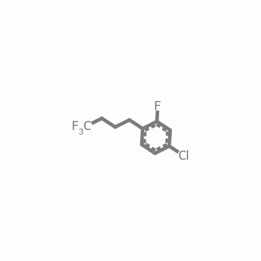 Fc1cc(Cl)ccc1CCCC(F)(F)F